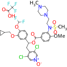 COc1ccc(C(=O)OC(Cc2c(Cl)c[n+]([O-])cc2Cl)c2ccc(OC(F)F)c(OCC3CC3)c2)cc1N(CCN1CCN(C)CC1)S(C)(=O)=O.O=C(O)C(F)(F)F